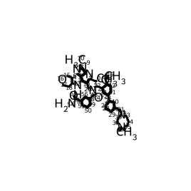 CCc1nc2c(cnn2CC)c(NC2CCOCC2)c1CN(Cc1cc(-c2cccc(CN3CCCN(C)CC3)c2)ccc1OC)C(=O)c1cccc(C(N)=O)c1